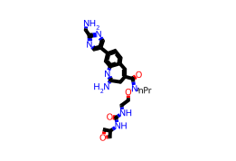 CCCN(OCCNC(=O)NC1COC1)C(=O)C1=Cc2ccc(-c3cnc(CN)nc3)cc2N=C(N)C1